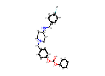 O=C(Oc1ccccc1)Oc1ccc(CN2CCC(NCc3ccc(F)cc3)CC2)cc1